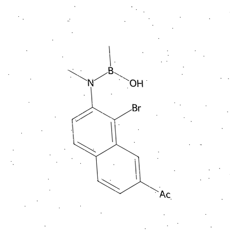 CB(O)N(C)c1ccc2ccc(C(C)=O)cc2c1Br